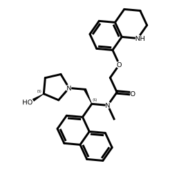 CN(C(=O)COc1cccc2c1NCCC2)[C@H](CN1CC[C@H](O)C1)c1cccc2ccccc12